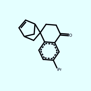 CC(C)c1ccc2c(c1)C(=O)CCC21CC2C=CC1C2